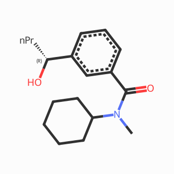 CCC[C@@H](O)c1cccc(C(=O)N(C)C2CCCCC2)c1